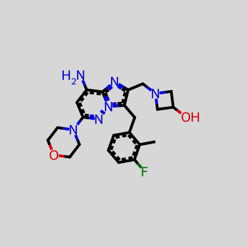 Cc1c(F)cccc1Cc1c(CN2CC(O)C2)nc2c(N)cc(N3CCOCC3)nn12